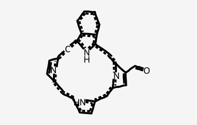 O=CC1=Cc2cc3ccc(cc4nc(cc5[nH]c(cc1n2)c1ccccc51)C=C4)[nH]3